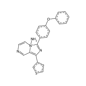 N[N+]12C=CN=CC1=C(c1ccsc1)N=C2c1ccc(Oc2ccccc2)cc1